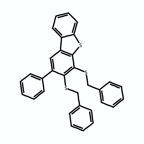 [c]1c(-c2ccccc2)c(SCc2ccccc2)c(SCc2ccccc2)c2sc3ccccc3c12